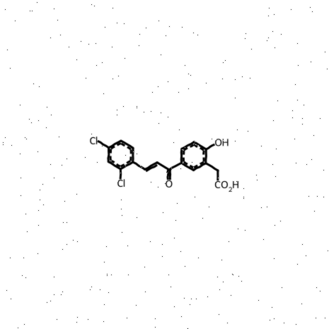 O=C(O)Cc1cc(C(=O)/C=C/c2ccc(Cl)cc2Cl)ccc1O